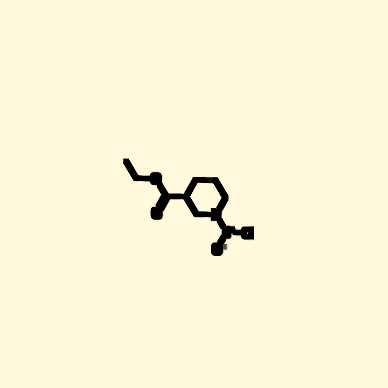 CCOC(=O)C1CCCN([S+]([O-])Cl)C1